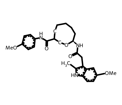 COc1ccc(NC(=O)C2CCCCC[C@@H](NC(=O)Cc3c(C)[nH]c4ccc(OC)cc34)OC2)cc1